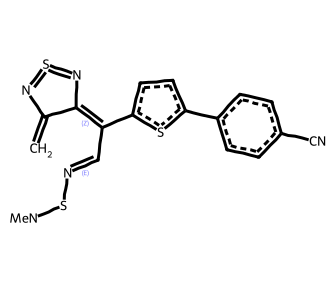 C=C1N=S=N/C1=C(/C=N/SNC)c1ccc(-c2ccc(C#N)cc2)s1